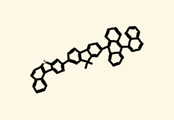 CC1(C)c2cc(-c3ccc4c(c3)sc3ccc5ccccc5c34)ccc2-c2ccc(-c3c4ccccc4c(-c4cccc5ccccc45)c4ccccc34)cc21